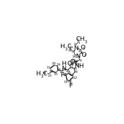 CCCN1C(=O)C(=O)N(CC(=O)N[C@@H](Cc2cc(F)cc(F)c2)[C@@H](O)CNCc2cccc(CC)c2)C[C@@H]1CC